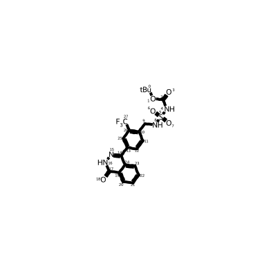 CC(C)(C)OC(=O)NS(=O)(=O)NCc1ccc(-c2n[nH]c(=O)c3ccccc23)cc1C(F)(F)F